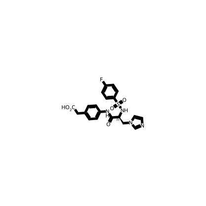 O=C(O)Cc1ccc(NC(=O)[C@H](Cn2ccnc2)NS(=O)(=O)c2ccc(F)cc2)cc1